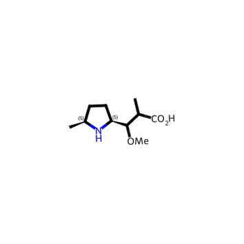 COC(C(C)C(=O)O)[C@@H]1CC[C@H](C)N1